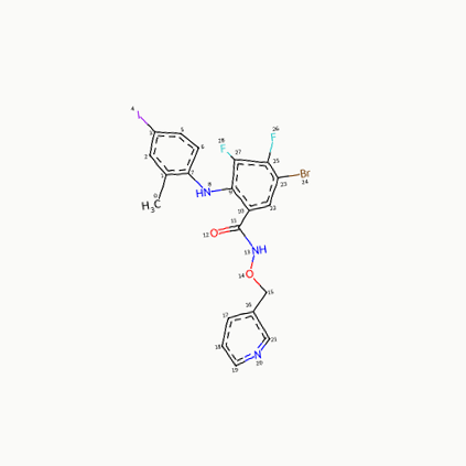 Cc1cc(I)ccc1Nc1c(C(=O)NOCc2cccnc2)cc(Br)c(F)c1F